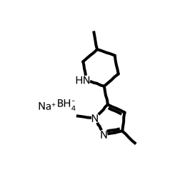 Cc1cc(C2CCC(C)CN2)n(C)n1.[BH4-].[Na+]